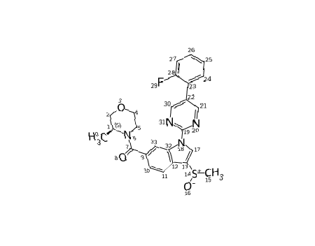 C[C@H]1COCCN1C(=O)c1ccc2c([S+](C)[O-])cn(-c3ncc(-c4ccccc4F)cn3)c2c1